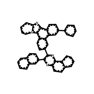 c1ccc(-c2ccc3c(c2)c2cc(-c4nc5c(ccc6ccccc65)nc4-c4ccc5ccccc5c4)ccc2c2c3nc3ccccn32)cc1